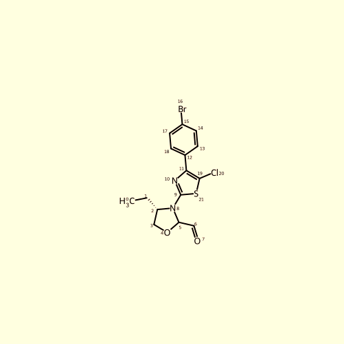 CC[C@H]1COC(C=O)N1c1nc(-c2ccc(Br)cc2)c(Cl)s1